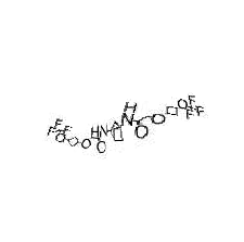 O=C(COC1CC(OC(F)(F)F)C1)NC1CC2(NC(=O)CO[C@H]3C[C@@H](OC(F)(F)F)C3)CC1C2